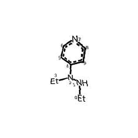 CCNN(CC)c1ccncc1